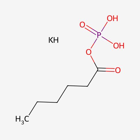 CCCCCC(=O)OP(=O)(O)O.[KH]